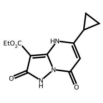 CCOC(=O)c1c(=O)[nH]n2c(=O)cc(C3CC3)[nH]c12